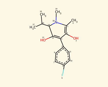 CC1=C(O)C(c2ccc(F)cc2)=C(O)C(C(C)C)N1C